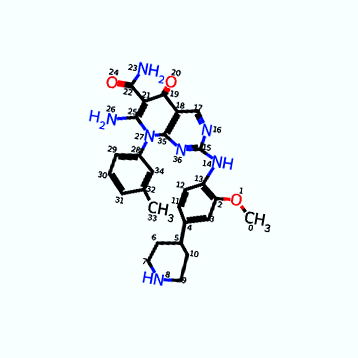 COc1cc(C2CCNCC2)ccc1Nc1ncc2c(=O)c(C(N)=O)c(N)n(-c3cccc(C)c3)c2n1